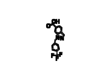 O=C(O)c1ccc2cnn(Cc3ccc(C(F)(F)F)cc3)c2c1